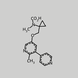 Cc1ncc(OCC2(N(C)C(=O)O)CC2)cc1-c1ccncc1